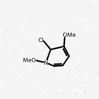 COC1=CC=CN(OC)C1Cl